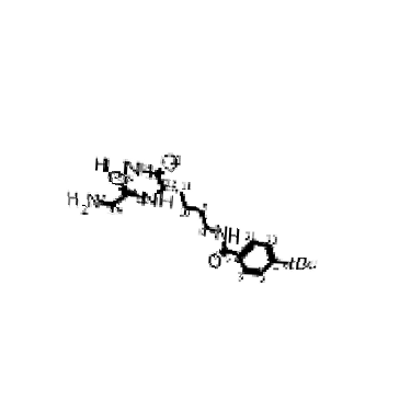 CC(C)(C)c1ccc(C(=O)NCCCC[C@H](NC(=O)CN)C(N)=O)cc1